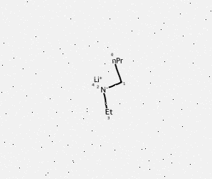 CCCC[N-]CC.[Li+]